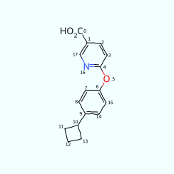 O=C(O)c1ccc(Oc2ccc(C3CCC3)cc2)nc1